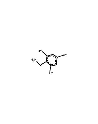 CC(C)c1cc(C(C)C)c(CN)c(C(C)C)c1